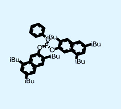 CCC(C)c1cc(C(C)CC)c2cc(OP(Oc3ccccc3)Oc3cc4c(C(C)CC)cc(C(C)CC)cc4cc3C(C)CC)c(C(C)CC)cc2c1